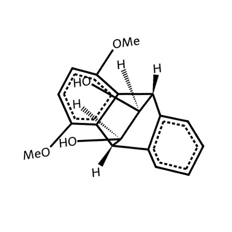 COc1ccc(OC)c2c1[C@H]1c3ccccc3[C@@H]2[C@H](O)[C@@H]1O